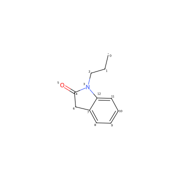 [CH2]CCN1C(=O)Cc2ccccc21